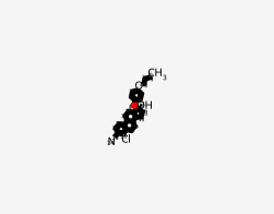 CCCCOc1ccc(C[C@]2(O)CCC3C4CCc5c(ccc(C#N)c5Cl)C4CC[C@@]32C)cc1